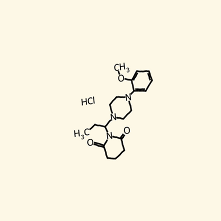 CCC(N1CCN(c2ccccc2OC)CC1)N1C(=O)CCCC1=O.Cl